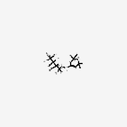 CC1(C)C=C(OSC(F)(F)C(F)(F)C(F)(F)C(F)(F)F)CC(C)(C)O1